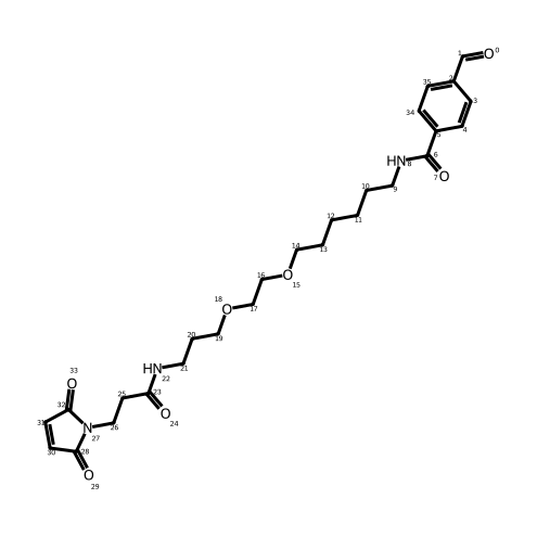 O=Cc1ccc(C(=O)NCCCCCCOCCOCCCNC(=O)CCN2C(=O)C=CC2=O)cc1